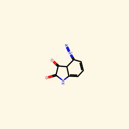 [N-]=[N+]=C1C=CC=C2NC(=O)C(=O)C21